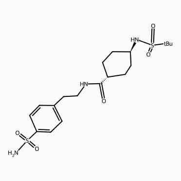 CC(C)(C)S(=O)(=O)N[C@H]1CC[C@H](C(=O)NCCc2ccc(S(N)(=O)=O)cc2)CC1